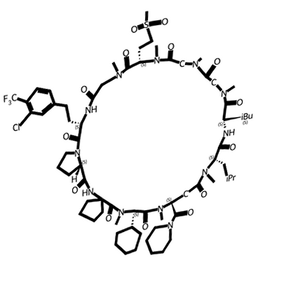 CC[C@H](C)[C@@H]1NC(=O)[C@H](CC(C)C)N(C)C(=O)C[C@@H](C(=O)N2CCCCC2)N(C)C(=O)[C@H](C2CCCCC2)N(C)C(=O)C2(CCCC2)NC(=O)[C@@H]2CCCN2C(=O)[C@H](CCc2ccc(C(F)(F)F)c(Cl)c2)NC(=O)CN(C)C(=O)[C@H](CCS(C)(=O)=O)N(C)C(=O)CN(C)C(=O)CN(C)C1=O